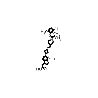 CC(C)=C(Sc1cc(Cl)ccc1C)N1CCC(CC[C@H]2C[C@@H](c3ccc4c(c3C)SCC4CC(=O)O)C2)CC1